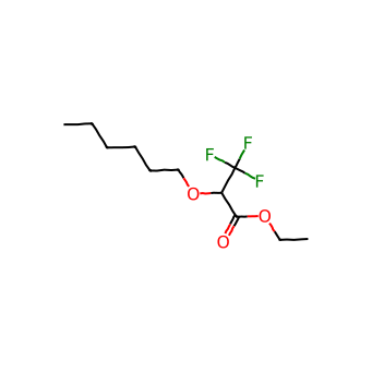 CCCCCCOC(C(=O)OCC)C(F)(F)F